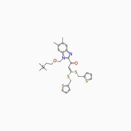 Cc1cc2nc(C(=O)C=C(SCc3cccs3)SCc3cccs3)n(COCC[Si](C)(C)C)c2cc1C